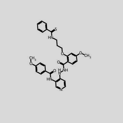 COc1ccc(C(=O)Nc2cnccc2NNC(=O)c2ccc(OC)cc2OCCCNC(=S)c2ccccc2)cc1